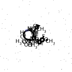 CC[C@@H]1C[C@H](C)CC/C=C\[C@@H]2C[C@@]2(C(=O)NS(=O)(=O)C2(C)CC2)NC(=O)[C@@H]2N(C[C@@](C)(Oc3nccc4cc(OC)c(F)cc34)C2(F)F)C(=O)[C@H]1N(C(=O)O)C(C)C